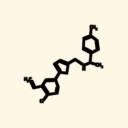 C=Cc1cc(C2=CC=C(CNC(C)c3ccc(C)cc3)C2)ccc1Cl